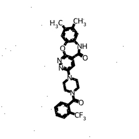 Cc1cc2c(cc1C)Oc1nnc(N3CCN(C(=O)c4ccccc4C(F)(F)F)CC3)cc1C(=O)N2